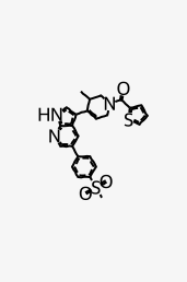 CC1CN(C(=O)c2cccs2)CC=C1c1c[nH]c2ncc(-c3ccc(S(C)(=O)=O)cc3)cc12